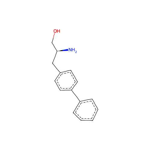 N[C@H](CO)Cc1ccc(-c2ccccc2)cc1